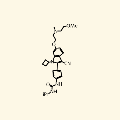 COCCN(C)CCOc1ccc2c(C#N)c(-c3ccc(NC(=O)NC(C)C)cc3)n(C3CCC3)c2c1